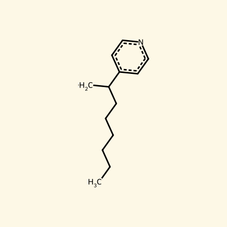 [CH2]C(CCCCCC)c1ccncc1